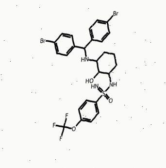 N=S(=O)(NC1CCCC(NC(c2ccc(Br)cc2)c2ccc(Br)cc2)C1O)c1ccc(OC(F)(F)F)cc1